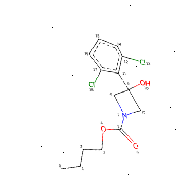 CCCCOC(=O)N1CC(O)(c2c(Cl)cccc2Cl)C1